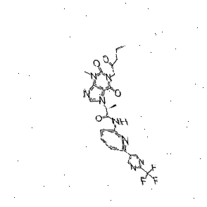 CCCC(=O)Cn1c(=O)c2c(ncn2[C@@H](C)C(=O)Nc2cccc(-c3cnc(C(F)(F)F)nc3)n2)n(C)c1=O